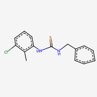 Cc1c(Cl)cccc1NC(=S)NCc1ccccc1